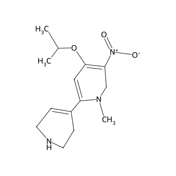 CC(C)OC1=C([N+](=O)[O-])CN(C)C(C2=CCNCC2)=C1